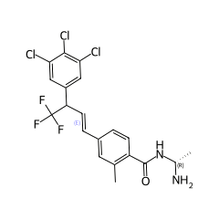 Cc1cc(/C=C/C(c2cc(Cl)c(Cl)c(Cl)c2)C(F)(F)F)ccc1C(=O)N[C@H](C)N